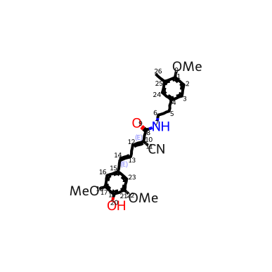 COc1ccc(CCNC(=O)/C(C#N)=C/C=C/c2cc(OC)c(O)c(OC)c2)cc1C